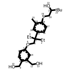 CCC(CC)(COc1ccc(CO)c(CO)c1)c1ccc(SCC(O)C(C)(C)C)c(C)c1